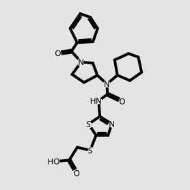 O=C(O)CSc1cnc(NC(=O)N(C2CCCCC2)C2CCN(C(=O)c3ccccc3)C2)s1